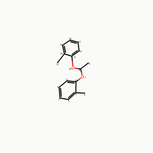 Cc1ccccc1OC(C)Oc1ccccc1C